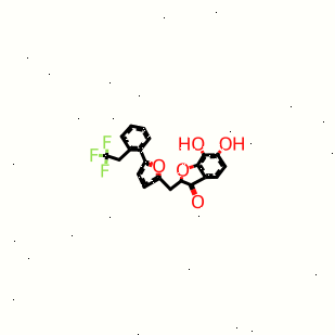 O=C1c2ccc(O)c(O)c2OC1Cc1ccc(-c2ccccc2CC(F)(F)F)o1